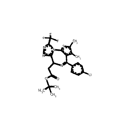 Cc1sc2c(c1C)C(c1ccc(Cl)cc1)=NC(CC(=O)OC(C)(C)C)c1nnc(C(F)(F)F)n1-2